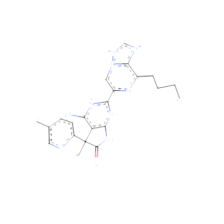 CCCCc1nc(-c2nc(N)c3c(n2)NC(=O)C3(C)c2ccc(C)cn2)cn2ncnc12